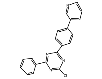 Clc1nc(-c2ccccc2)nc(-c2ccc(-c3cccnc3)cc2)n1